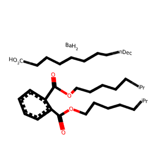 CC(C)CCCCCOC(=O)c1ccccc1C(=O)OCCCCCC(C)C.CCCCCCCCCCCCCCCCCC(=O)O.[BaH2]